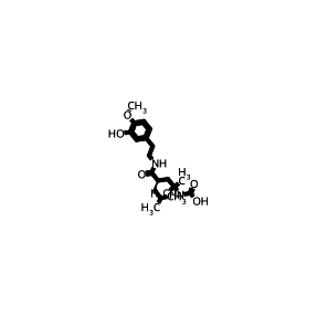 COc1ccc(CCNC(=O)[C@H](CC(C)C)CC(C)(C)NC(=O)O)cc1O